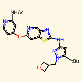 CC(=O)Nc1cc(Oc2cc3sc(Nc4cc(C(C)(C)C)n(CC5COC5)n4)nc3cn2)ccn1